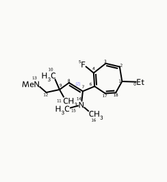 CCC1C=CC(F)=C(/C(=C/C(C)(C)CNC)N(C)C)C=C1